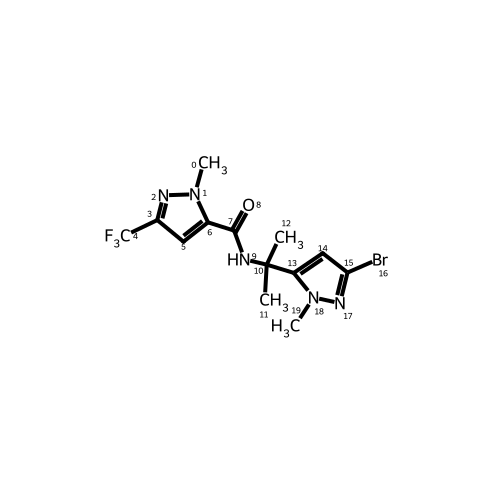 Cn1nc(C(F)(F)F)cc1C(=O)NC(C)(C)c1cc(Br)nn1C